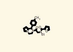 CCN(CC(=O)N1CCn2cccc2C1c1ccc(C)cc1)C(=O)c1ccco1